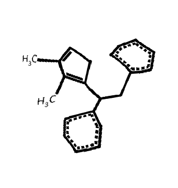 CC1=CCC(C(Cc2ccccc2)c2ccccc2)=C1C